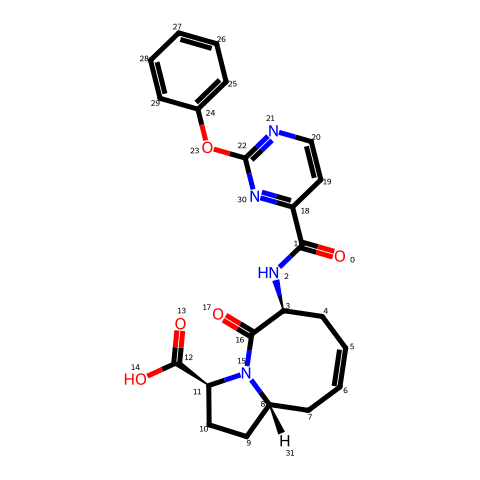 O=C(N[C@H]1CC=CC[C@@H]2CC[C@@H](C(=O)O)N2C1=O)c1ccnc(Oc2ccccc2)n1